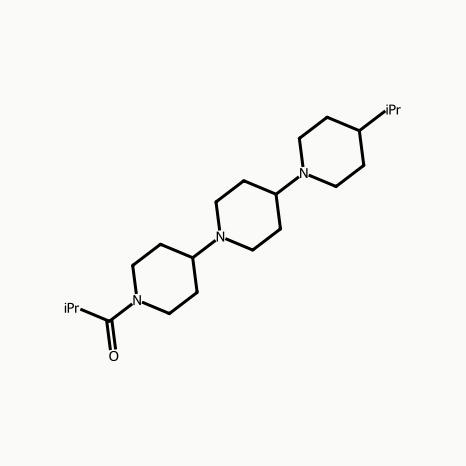 CC(C)C(=O)N1CCC(N2CCC(N3CCC(C(C)C)CC3)CC2)CC1